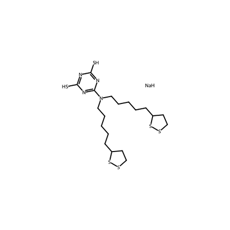 Sc1nc(S)nc(N(CCCCCC2CCSS2)CCCCCC2CCSS2)n1.[NaH]